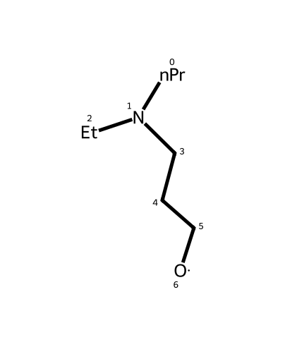 CCCN(CC)CCC[O]